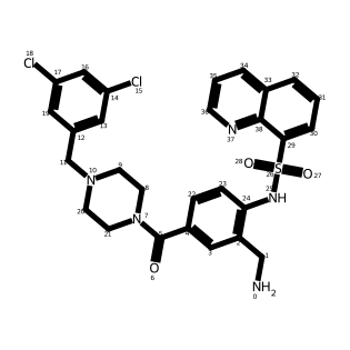 NCc1cc(C(=O)N2CCN(Cc3cc(Cl)cc(Cl)c3)CC2)ccc1NS(=O)(=O)c1cccc2cccnc12